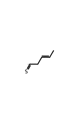 C/C=C/C[C]=S